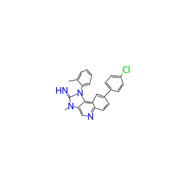 Cc1ccccc1-n1c(=N)n(C)c2cnc3ccc(-c4ccc(Cl)cc4)cc3c21